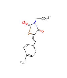 CCOC(=O)CN1C(=O)S/C(=C\c2ccc(C(F)(F)F)cc2)C1=O